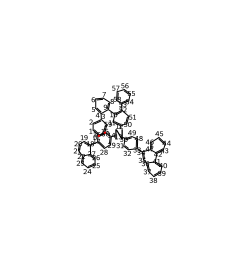 c1ccc(-c2ccccc2-c2cc(N(c3ccc(-c4cccc5ccccc45)cc3)c3ccc(-c4cc5ccccc5c5ccccc45)cc3)ccc2-c2ccccc2)cc1